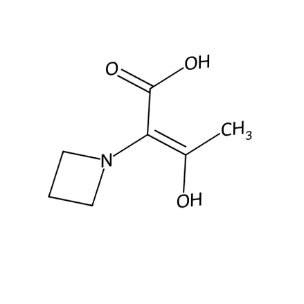 CC(O)=C(C(=O)O)N1CCC1